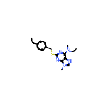 CCc1ccc(CSc2nc(N(C)CC)c3ncn(C)c3n2)cc1